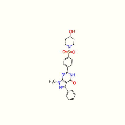 Cn1nc(-c2ccccc2)c2c(=O)[nH]c(-c3ccc(S(=O)(=O)N4CCC(O)CC4)cc3)nc21